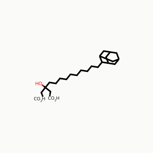 O=C(O)CC(O)(CCCCCCCCCCC1C2CC3CC(C2)CC1C3)CC(=O)O